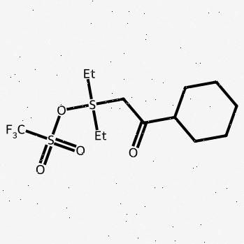 CCS(CC)(CC(=O)C1CCCCC1)OS(=O)(=O)C(F)(F)F